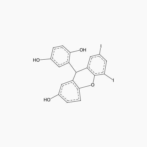 Oc1ccc(O)c(C2c3cc(O)ccc3Oc3c(I)cc(I)cc32)c1